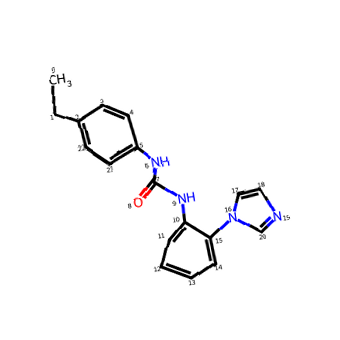 CCc1ccc(NC(=O)Nc2ccccc2-n2ccnc2)cc1